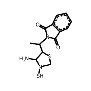 CC(C1SCN(S)C1N)N1C(=O)c2ccccc2C1=O